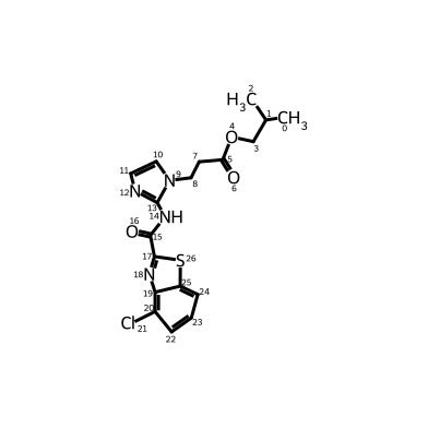 CC(C)COC(=O)CCn1ccnc1NC(=O)c1nc2c(Cl)cccc2s1